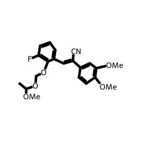 COc1ccc(/C(C#N)=C/c2cccc(F)c2OCOC(C)OC)cc1OC